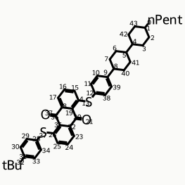 CCCCCC1CCC(C2CCC(c3ccc(Sc4cccc5c4C(=O)c4cccc(Sc6ccc(C(C)(C)C)cc6)c4C5=O)cc3)CC2)CC1